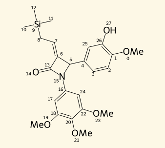 COc1ccc(C2C(=CC[Si](C)(C)C)C(=O)N2c2cc(OC)c(OC)c(OC)c2)cc1O